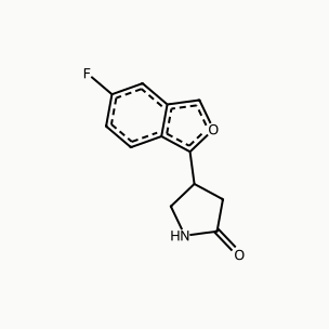 O=C1CC(c2occ3cc(F)ccc23)CN1